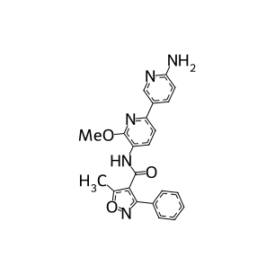 COc1nc(-c2ccc(N)nc2)ccc1NC(=O)c1c(-c2ccccc2)noc1C